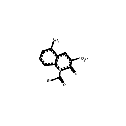 CCC(=O)n1c(=O)c(C(=O)O)cc2c(N)cccc21